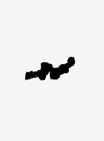 C=C(CCc1ccccc1OCc1ccc(CCc2ccccc2)cc1)C1CCSc2cc(C(=O)OC)ccc21